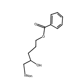 CCCCCCCCCCC(O)CCCOC(=O)c1ccccc1